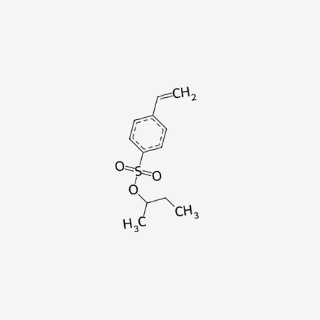 C=Cc1ccc(S(=O)(=O)OC(C)CC)cc1